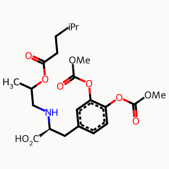 COC(=O)Oc1ccc(C[C@H](NCC(C)OC(=O)CCC(C)C)C(=O)O)cc1OC(=O)OC